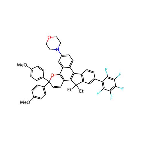 CCC1(CC)c2cc(-c3c(F)c(F)c(F)c(F)c3F)ccc2-c2c1c1c(c3cc(N4CCOCC4)ccc23)OC(c2ccc(OC)cc2)(c2ccc(OC)cc2)C=C1